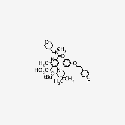 Cc1nc(C(=O)N(C)CC2CCOCC2)c(-c2ccc(OCCc3ccc(F)cc3)cc2)c(N2CCC(C)(C)CC2)c1[C@H](OC(C)(C)C)C(=O)O